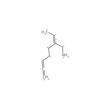 C=C=CCC/C(=C\C)CN